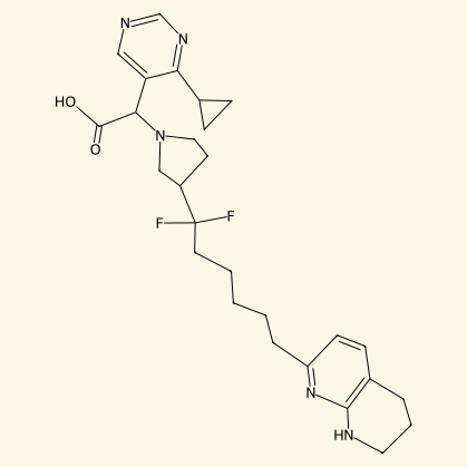 O=C(O)C(c1cncnc1C1CC1)N1CCC(C(F)(F)CCCCCc2ccc3c(n2)NCCC3)C1